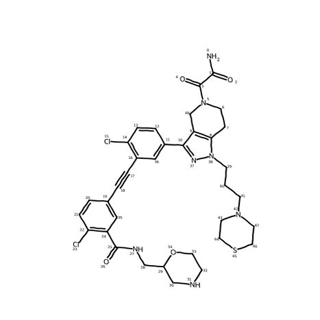 NC(=O)C(=O)N1CCc2c(c(-c3ccc(Cl)c(C#Cc4ccc(Cl)c(C(=O)NCC5CNCCO5)c4)c3)nn2CCCN2CCSCC2)C1